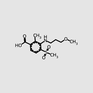 COCCCNc1c(S(C)(=O)=O)ccc(C(=O)O)c1C